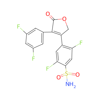 NS(=O)(=O)c1cc(F)c(C2=C(c3cc(F)cc(F)c3)C(=O)OC2)cc1F